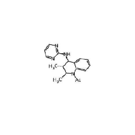 CC(=O)N1c2ccccc2[C@H](Nc2ncccn2)[C@@H](C)[C@@H]1C